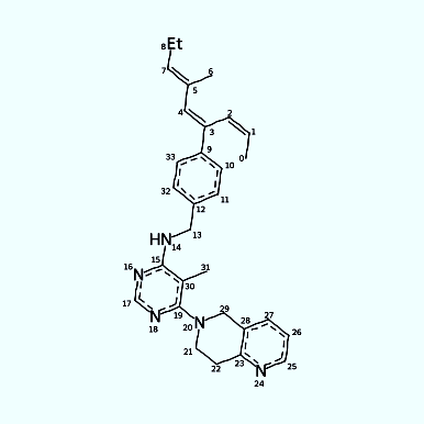 C\C=C/C(=C\C(C)=C\CC)c1ccc(CNc2ncnc(N3CCc4ncccc4C3)c2C)cc1